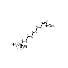 [CH2]C(O)(CC)CCCCCCCC/C=C\CCCCCCCC